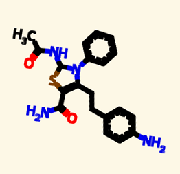 CC(=O)NC1SC(C(N)=O)=C(CCc2ccc(N)cc2)N1c1ccccc1